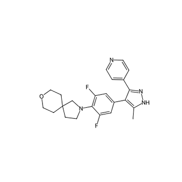 Cc1[nH]nc(-c2ccncc2)c1-c1cc(F)c(N2CCC3(CCOCC3)C2)c(F)c1